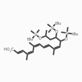 CC(=CC=CC(C)=CC(O[Si](C)(C)C(C)(C)C)C(CC(C)O[Si](C)(C)C(C)(C)C)O[Si](C)(C)C(C)(C)C)C=C(C)C=CC(=O)O